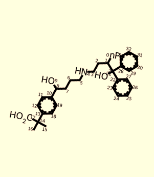 CCCC(CCNCCCC(O)c1ccc(C(C)(C)C(=O)O)cc1)C(O)(c1ccccc1)c1ccccc1